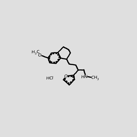 CNCC(CCC1CCCc2cc(OC)ccc21)c1ccco1.Cl